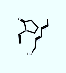 C/C=C/C=C/CO.C=CN1CCCC1=O